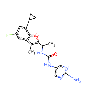 Cc1c(C(NC(=O)Nc2cnc(N)nc2)C(F)(F)F)oc2c(C3CC3)cc(F)cc12